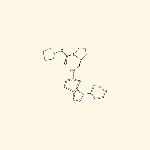 O=C(OC1CCCC1)N1CCC[C@H]1CNc1ccc2ncc(-c3ccncc3)n2n1